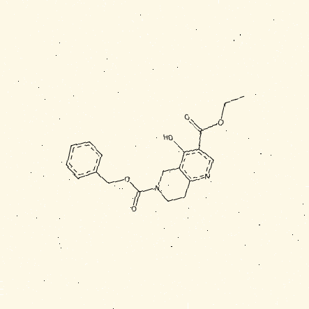 CCOC(=O)c1cnc2c(c1O)CN(C(=O)OCc1ccccc1)CC2